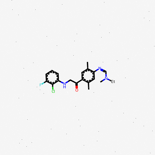 CCN(C)/C=N\c1cc(C)c(C(=O)CNc2cccc(F)c2Cl)cc1C